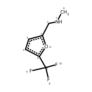 CNCc1ccc(C(F)(F)F)o1